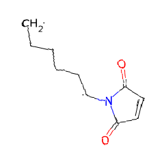 [CH2]CCCC[CH]N1C(=O)C=CC1=O